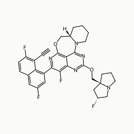 C#Cc1c(F)ccc2cc(F)cc(-c3nc4c5c(nc(OC[C@@]67CCCN6C[C@H](F)C7)nc5c3F)N3CCCC[C@H]3CO4)c12